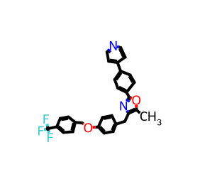 Cc1oc(-c2ccc(-c3ccncc3)cc2)nc1Cc1ccc(OCc2ccc(C(F)(F)F)cc2)cc1